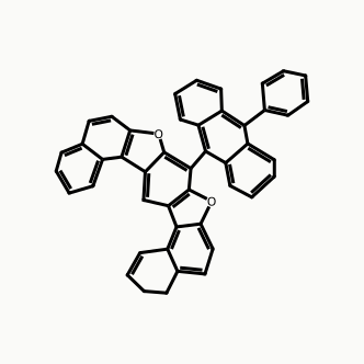 C1=Cc2c(ccc3oc4c(-c5c6ccccc6c(-c6ccccc6)c6ccccc56)c5oc6ccc7ccccc7c6c5cc4c23)CC1